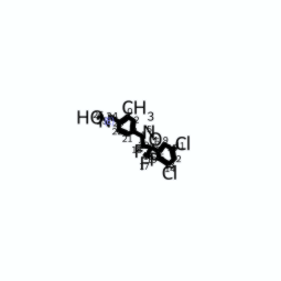 Cc1cc(C2=NOC(c3cc(Cl)cc(Cl)c3)(C(F)(F)F)C2)ccc1/C=N/O